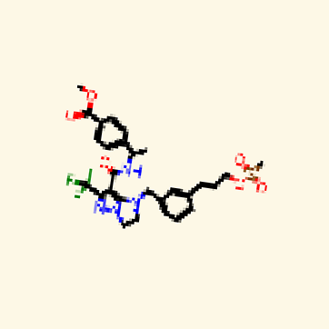 COC(=O)c1ccc(C(C)NC(=O)c2c(C(F)(F)F)nn3c2N(Cc2cccc(CCCOS(C)(=O)=O)c2)CC3)cc1